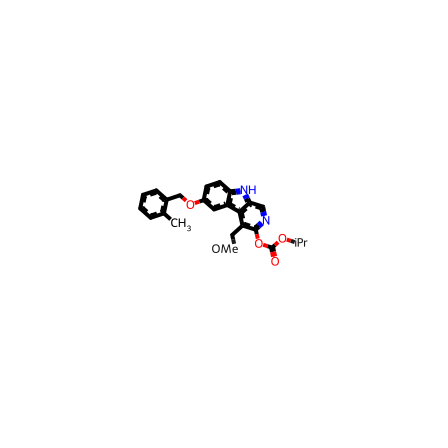 COCc1c(OC(=O)OC(C)C)ncc2[nH]c3ccc(OCc4ccccc4C)cc3c12